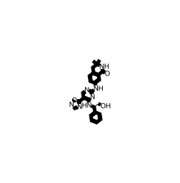 CC1(C)Cc2ccc(Nc3ncc(-c4ncno4)c(N[C@H](CO)c4ccccc4)n3)cc2C(=O)N1